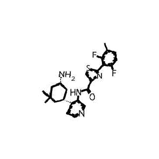 Cc1ccc(F)c(-c2nc(C(=O)Nc3cnccc3[C@H]3C[C@@H](N)CC(C)(C)C3)cs2)c1F